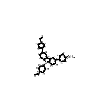 C=Cc1ccc(-c2ccc3c(c2)c2cc(-c4ccc(N)cc4)ccc2n3-c2ccc(C=C)cc2)cc1